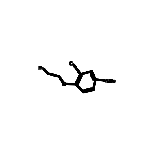 CNc1ccc(OCCC(C)C)c(Cl)c1